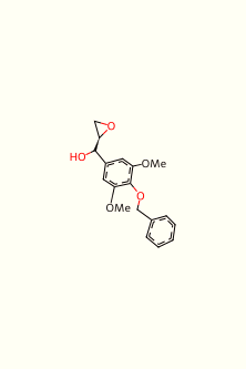 COc1cc(C(O)[C@H]2CO2)cc(OC)c1OCc1ccccc1